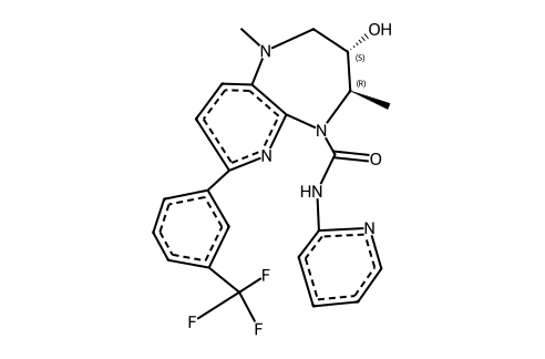 C[C@@H]1[C@@H](O)CN(C)c2ccc(-c3cccc(C(F)(F)F)c3)nc2N1C(=O)Nc1ccccn1